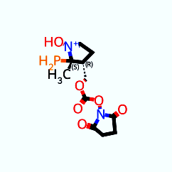 C[C@]1(P)[C@@H](COC(=O)ON2C(=O)CCC2=O)CC=[N+]1O